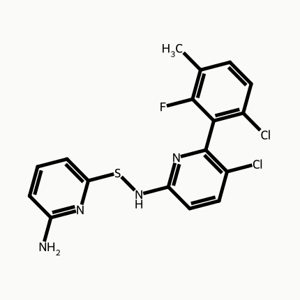 Cc1ccc(Cl)c(-c2nc(NSc3cccc(N)n3)ccc2Cl)c1F